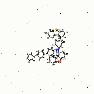 c1ccc(-c2ccc(-c3ccc(N(c4ccc(-c5cccc6sc7ccccc7c56)cc4)c4cccc5oc6ccccc6c45)cc3)cc2)cc1